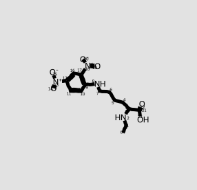 CCNC(CCCCNc1ccc([N+](=O)[O-])cc1[N+](=O)[O-])C(=O)O